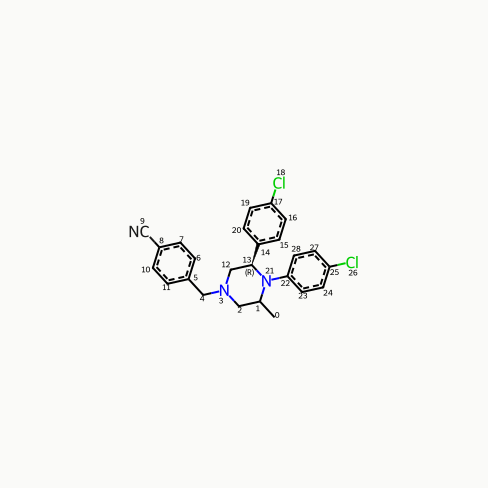 CC1CN(Cc2ccc(C#N)cc2)C[C@@H](c2ccc(Cl)cc2)N1c1ccc(Cl)cc1